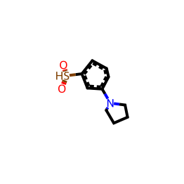 O=[SH](=O)c1cccc(N2CCCC2)c1